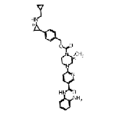 C[C@@H]1CN(c2ccc(C(=O)Nc3ccccc3N)cn2)CCN1C(=O)OCc1ccc(C2C[C@@H]2NCC2CC2)cc1